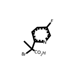 CC(Br)(C(=O)O)c1ccc(F)cn1